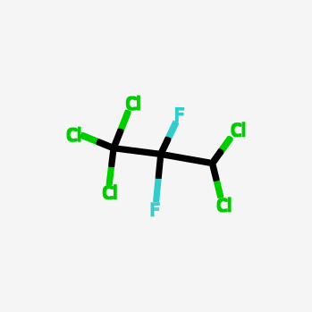 FC(F)(C(Cl)Cl)C(Cl)(Cl)Cl